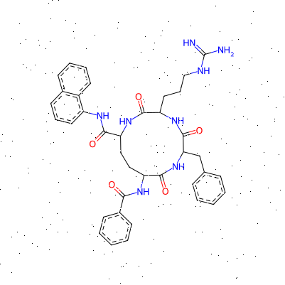 N=C(N)NCCCC1NC(=O)C(Cc2ccccc2)NC(=O)C(NC(=O)c2ccccc2)CCC(C(=O)Nc2cccc3ccccc23)NC1=O